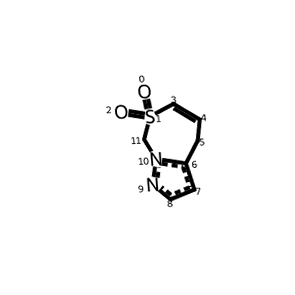 O=S1(=O)C=CCc2ccnn2C1